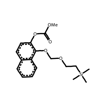 COC(=O)Oc1ccc2ccccc2c1OCOCC[Si](C)(C)C